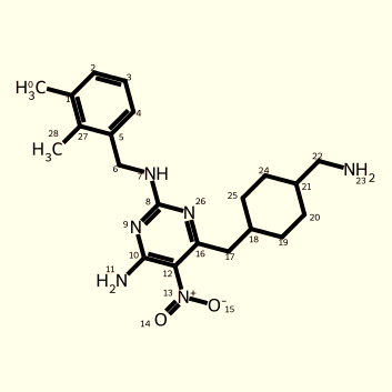 Cc1cccc(CNc2nc(N)c([N+](=O)[O-])c(CC3CCC(CN)CC3)n2)c1C